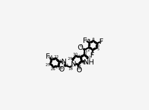 O=C(c1c(F)cc(F)cc1F)c1c[nH]c2c(=O)n(Cc3nc4cc(F)ccc4o3)ccc12